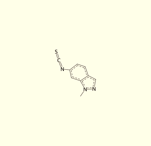 Cn1ncc2ccc(N=C=S)cc21